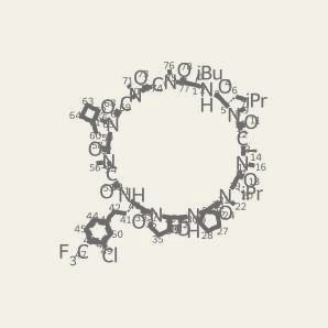 CCC(C)[C@@H]1NC(=O)[C@H](CC(C)C)N(C)C(=O)C[C@@H](C)N(C)C(=O)[C@H](C(C)C)N(C)C(=O)C2(CCCC2)NC(=O)[C@@H]2CCCN2C(=O)[C@H](CCc2ccc(C(F)(F)F)c(Cl)c2)NC(=O)CN(C)C(=O)[C@H](CC2CCC2)N(C)C(=O)CN(C)C(=O)CN(C)C1=O